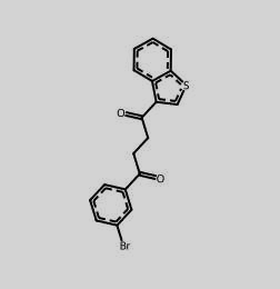 O=C(CCC(=O)c1csc2ccccc12)c1cccc(Br)c1